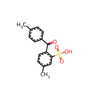 Cc1ccc(C(=O)c2ccc(C)cc2S(=O)(=O)O)cc1